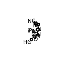 CC(C)Nc1cc(-c2ccc3cc(C#N)cnn23)ncc1-c1nnc(C(=O)N[C@H]2C[C@H](O)C2)s1